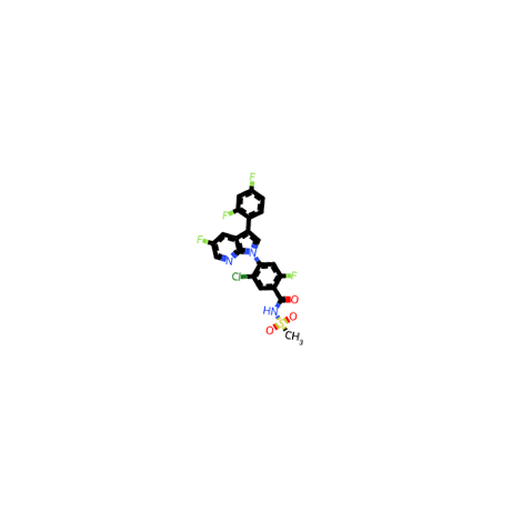 CS(=O)(=O)NC(=O)c1cc(Cl)c(-n2cc(-c3ccc(F)cc3F)c3cc(F)cnc32)cc1F